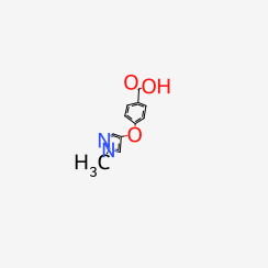 Cn1cc(Oc2ccc(C(=O)O)cc2)cn1